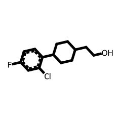 OCCC1CCC(c2ccc(F)cc2Cl)CC1